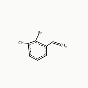 C=[C]c1cccc(Cl)c1Br